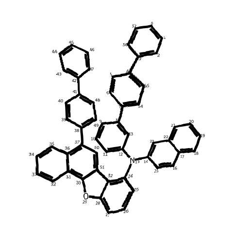 c1ccc(-c2ccc(-c3cccc(N(c4ccc5ccccc5c4)c4cccc5oc6c7ccccc7c(-c7ccc(-c8ccccc8)cc7)cc6c45)c3)cc2)cc1